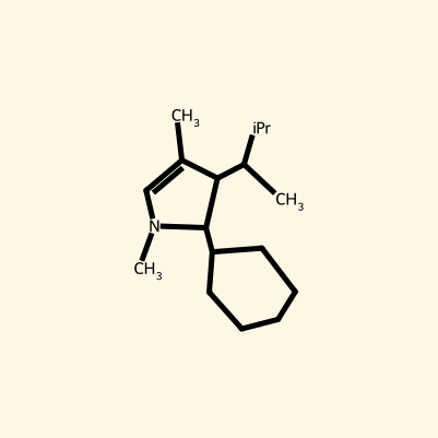 CC1=CN(C)C(C2CCCCC2)C1C(C)C(C)C